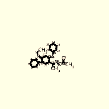 CCn1c2ccccc2c2cc(C(C)=NOC(C)=O)c(Sc3ccccc3)cc21